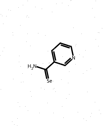 NC(=[Se])c1cccnc1